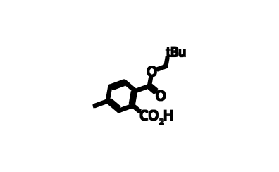 Cc1ccc(C(=O)OCC(C)(C)C)c(C(=O)O)c1